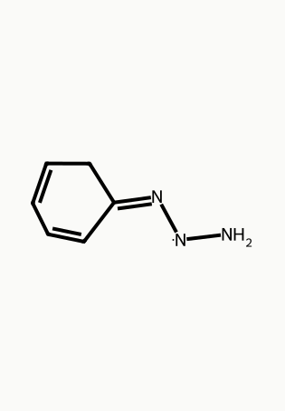 N[N]N=C1C=CC=CC1